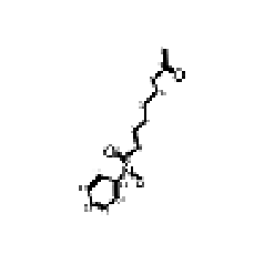 CC(=O)CCCCCCC(=O)N(C)c1ccccc1